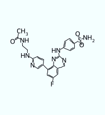 CC(=O)NCCNc1ccc(-c2cc(F)cc3cnc(Nc4ccc(S(N)(=O)=O)cc4)nc23)cn1